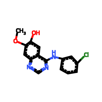 COc1cc2ncnc(Nc3cccc(Cl)c3)c2cc1O